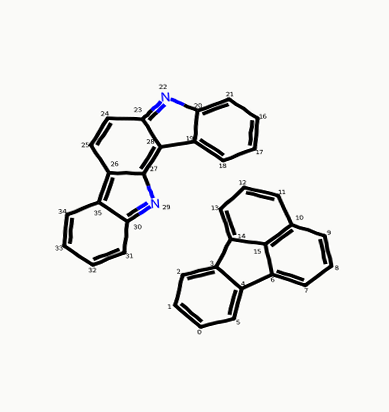 c1ccc2c(c1)-c1cccc3cccc-2c13.c1ccc2c(c1)N=c1ccc3c(c1-2)N=c1ccccc1=3